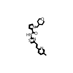 Cc1ccc(/C=C/c2csc(NC(=O)c3cccn3CC3CCOCC3)n2)nc1